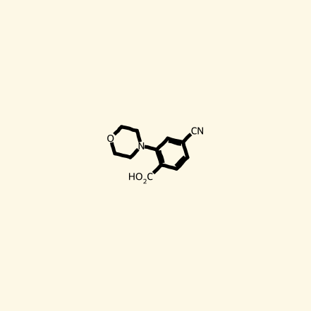 N#Cc1ccc(C(=O)O)c(N2CCOCC2)c1